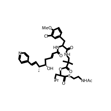 COc1ccc(CC(NC(=O)/C=C/C[C@H](O)[C@H](C)/C=C/c2ccncc2)C(=O)NCC(C)(C)C(=O)OC(CC(C)C)C(=O)SCCNC(C)=O)cc1Cl